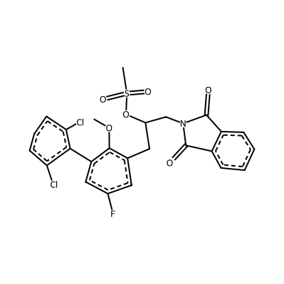 COc1c(CC(CN2C(=O)c3ccccc3C2=O)OS(C)(=O)=O)cc(F)cc1-c1c(Cl)cccc1Cl